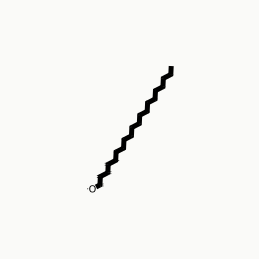 CCCCCCCCCCCCCCC[CH][C][C][C][C][O]